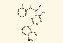 CC(c1ccccc1F)n1c(=O)[nH]c2ncc(-c3cccc4ncccc34)nc21